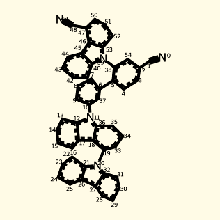 N#Cc1ccc(-c2cccc(-n3c4ccccc4c4c(-n5c6ccccc6c6ccccc65)cccc43)c2)c(-n2c3ccccc3c3c(C#N)cccc32)c1